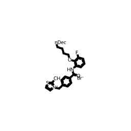 CCCCCCCCCCCCCCOc1c(F)cccc1NC(=O)c1ccc(C[n+]2ccsc2C)cc1.[Br-]